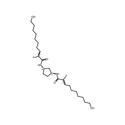 O=C(N[C@@H]1CC[C@H](NC(=O)/C(F)=C/CCCCCCCO)C1)/C(F)=C/CCCCCCCO